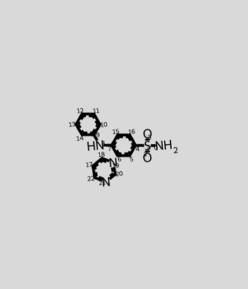 NS(=O)(=O)c1ccc(Nc2ccccc2)cc1.c1cncnc1